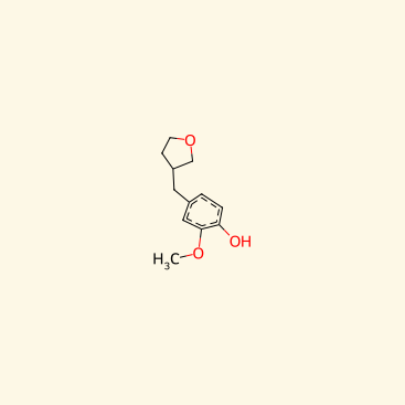 COc1cc(CC2CCOC2)ccc1O